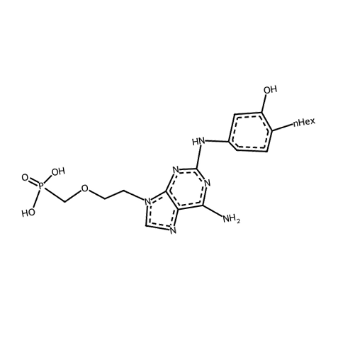 CCCCCCc1ccc(Nc2nc(N)c3ncn(CCOCP(=O)(O)O)c3n2)cc1O